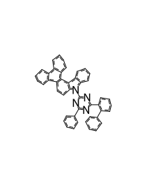 c1ccc(-c2nc(-c3ccccc3-c3ccccc3)nc(-n3c4ccccc4c4c5c6ccccc6c6ccccc6c5ccc43)n2)cc1